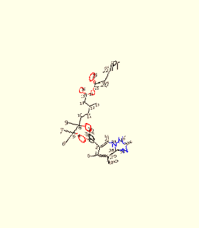 Cc1c(B2OC(C)(C)C(C)(CCC(C)CC(=O)OC(=O)CC(C)C)O2)cn2ncnc2c1C